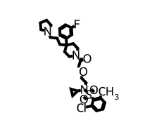 Cc1cccc(Cl)c1S(=O)(=O)N(CCOCC(=O)N1CCC(CCCN2CCCC2)(c2cccc(F)c2)CC1)C1CC1